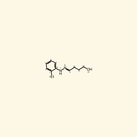 CCc1ccccc1NN=CCCCO